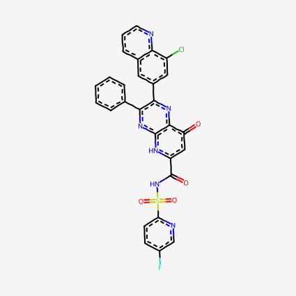 O=C(NS(=O)(=O)c1ccc(F)cn1)c1cc(=O)c2nc(-c3cc(Cl)c4ncccc4c3)c(-c3ccccc3)nc2[nH]1